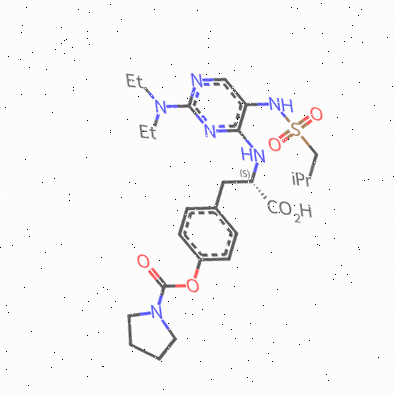 CCN(CC)c1ncc(NS(=O)(=O)CC(C)C)c(N[C@@H](Cc2ccc(OC(=O)N3CCCC3)cc2)C(=O)O)n1